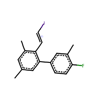 Cc1cc(C)c(/C=C/I)c(-c2ccc(F)c(C)c2)c1